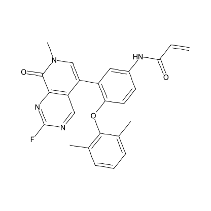 C=CC(=O)Nc1ccc(Oc2c(C)cccc2C)c(-c2cn(C)c(=O)c3nc(F)ncc23)c1